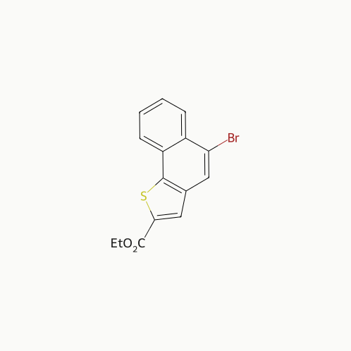 CCOC(=O)c1cc2cc(Br)c3ccccc3c2s1